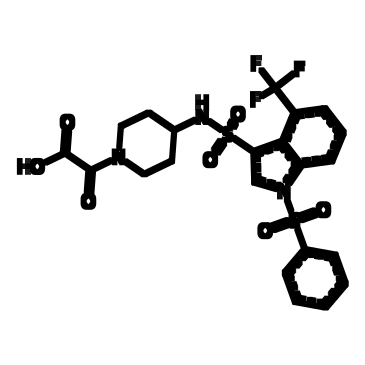 O=C(O)C(=O)N1CCC(NS(=O)(=O)c2cn(S(=O)(=O)c3ccccc3)c3cccc(C(F)(F)F)c23)CC1